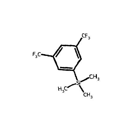 C[Si](C)(C)c1cc(C(F)(F)F)cc(C(F)(F)F)c1